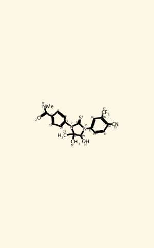 CNC(=O)c1ccc(N2C(=S)N(c3ccc(C#N)c(C(F)(F)F)c3)C(O)C2(C)C)cc1